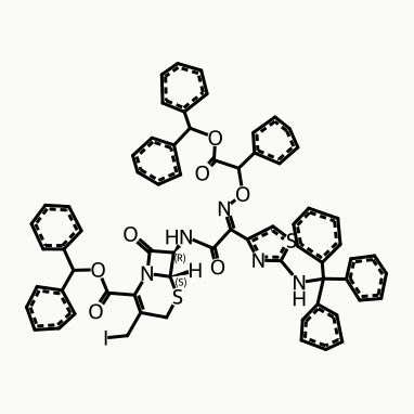 O=C(N[C@@H]1C(=O)N2C(C(=O)OC(c3ccccc3)c3ccccc3)=C(CI)CS[C@@H]12)C(=NOC(C(=O)OC(c1ccccc1)c1ccccc1)c1ccccc1)c1csc(NC(c2ccccc2)(c2ccccc2)c2ccccc2)n1